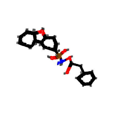 O=C(Cc1ccccc1)ONS(=O)(=O)c1ccc2oc3ccccc3c2c1